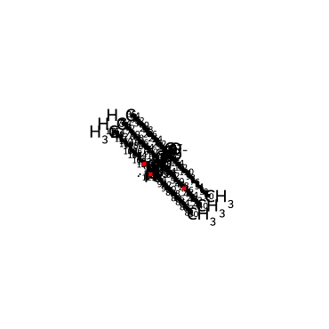 CCCCCCCCCCCCCCCCCCC(CCCCCCCCCCCCCCCCC)P(=O)([O-])[O-].CCCCCCCCCCCCCCCCCCC(CCCCCCCCCCCCCCCCC)P(=O)([O-])[O-].CCCCCCCCCCCCCCCCCCC(CCCCCCCCCCCCCCCCC)P(=O)([O-])[O-].[Fe+3].[Fe+3]